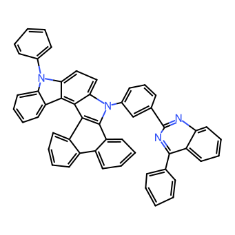 c1ccc(-c2nc(-c3cccc(-n4c5ccc6c(c7ccccc7n6-c6ccccc6)c5c5c6ccccc6c6ccccc6c54)c3)nc3ccccc23)cc1